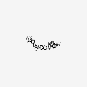 CN(c1ncnc2[nH]ccc12)C1CCC2(CC1)CCN(C(=O)COc1ccc(C#N)c(F)c1)CC2